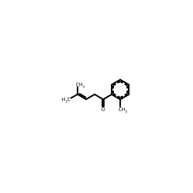 CC(C)=CCC(=O)c1ccc[c]c1C